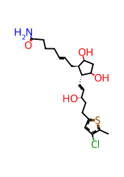 Cc1sc(CC[C@H](O)C=C[C@@H]2[C@@H](CC=CCCCC(N)=O)[C@@H](O)C[C@H]2O)cc1Cl